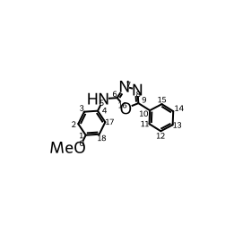 COc1ccc(Nc2nnc(-c3ccccc3)o2)cc1